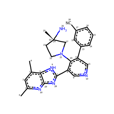 Cc1cc(C)c2[nH]c(-c3cncc(-c4cccc(C#N)c4)c3N3CC[C@](C)(N)C3)nc2n1